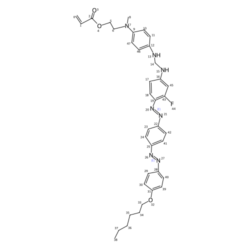 C=CC(=O)OCCN(C)c1ccc(NCNc2ccc(/N=N/c3ccc(/N=N/c4ccc(OCCCCCC)cc4)cc3)c(F)c2)cc1